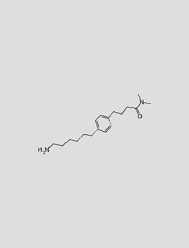 CN(C)C(=O)CCCc1ccc(CCCCCCN)cc1